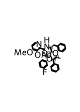 COc1ccnc(C(=O)N[C@@H](Cc2ccccc2)C(=O)O[C@@H](C)[C@H](Oc2cccc(F)c2)c2ccccc2)c1OC(C)=O